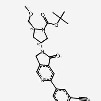 COC[C@@H]1C[C@@H](N2Cc3cnc(-c4cccc(C#N)c4)cc3C2=O)CN1C(=O)OC(C)(C)C